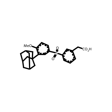 COc1ccc(S(=O)(=O)c2cccc(CC(=O)O)c2)cc1C12CC3CC(CC(C3)C1)C2